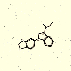 CCN(C)[C@H]1C[C@H](c2ccc3c(c2)OCO3)c2ccccc21